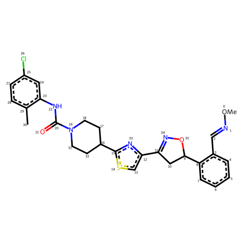 CO/N=C/c1ccccc1C1CC(c2csc(C3CCN(C(=O)Nc4cc(Cl)ccc4C)CC3)n2)=NO1